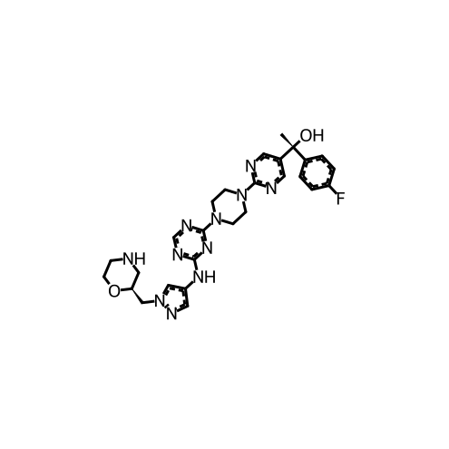 C[C@@](O)(c1ccc(F)cc1)c1cnc(N2CCN(c3ncnc(Nc4cnn(C[C@@H]5CNCCO5)c4)n3)CC2)nc1